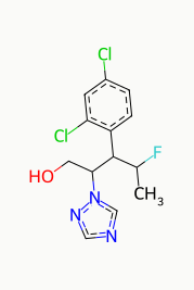 CC(F)C(c1ccc(Cl)cc1Cl)C(CO)n1cncn1